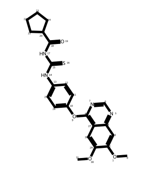 COc1cc2ncnc(Oc3ccc(NC(=S)NC(=O)C4CCCC4)cc3)c2cc1OC